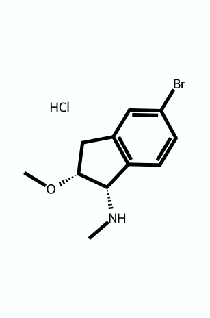 CN[C@H]1c2ccc(Br)cc2C[C@H]1OC.Cl